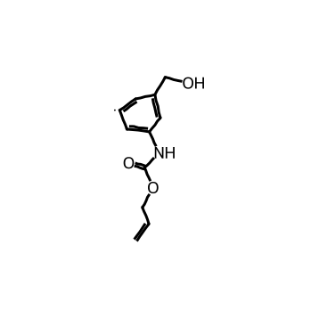 C=CCOC(=O)Nc1c[c]cc(CO)c1